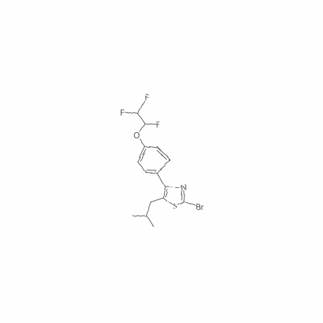 CC(C)Cc1sc(Br)nc1-c1ccc(OC(F)C(F)F)cc1